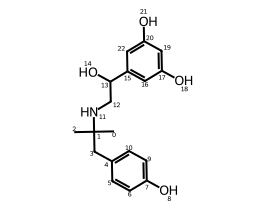 CC(C)(Cc1ccc(O)cc1)NCC(O)c1cc(O)cc(O)c1